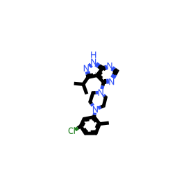 Cc1ccc(Cl)cc1N1CCN(c2ncnc3[nH]nc(C(C)C)c23)CC1